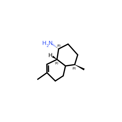 CC1=C[C@H]2C(CC1)[C@H](C)CC[C@H]2N